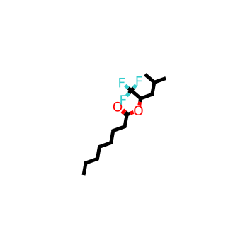 CCCCCCCC(=O)OC(CC(C)C)C(F)(F)F